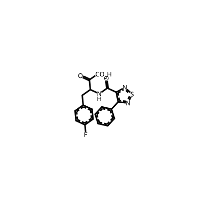 O=C(O)C(=O)C(Cc1ccc(F)cc1)NC(=O)c1nsnc1-c1ccccc1